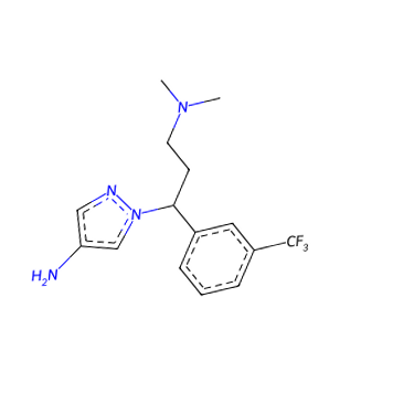 CN(C)CCC(c1cccc(C(F)(F)F)c1)n1cc(N)cn1